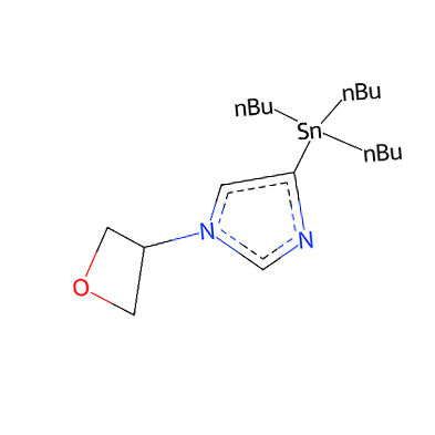 CCC[CH2][Sn]([CH2]CCC)([CH2]CCC)[c]1cn(C2COC2)cn1